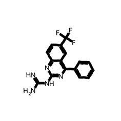 N=C(N)Nc1nc(-c2ccccc2)c2cc(C(F)(F)F)ccc2n1